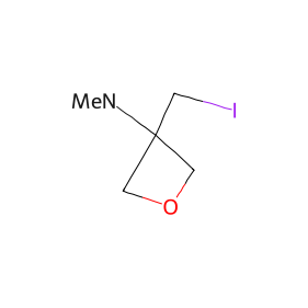 CNC1(CI)COC1